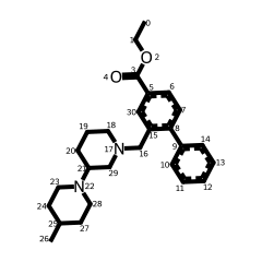 CCOC(=O)c1ccc(-c2ccccc2)c(CN2CCCC(N3CCC(C)CC3)C2)c1